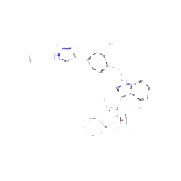 Cn1cc(-c2ccc(Cn3cc(C(=O)N[C@H]4CCCC[C@@]4(C)O)c4c(F)cccc43)c(F)c2)cn1